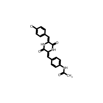 CC(=O)Nc1ccc(/C=c2\[nH]c(=O)/c(=C/c3ccc(Cl)cc3)[nH]c2=O)cc1